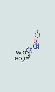 COc1ccc(-c2cnnc(OC[C@H]3CC[C@H](C)CC3)c2)nc1[C@H]1C[C@@H]1C(=O)O